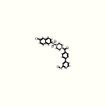 O=Nc1cc(-c2ccc(C(=O)N3CCN(S(=O)(=O)c4ccc5cc(Cl)ccc5c4)CC3)cc2)ccn1